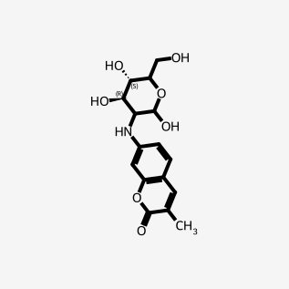 Cc1cc2ccc(NC3C(O)OC(CO)[C@@H](O)[C@@H]3O)cc2oc1=O